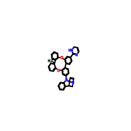 CC12CC=CC=C1Oc1cc(N3c4ccccc4C4CN5C=CC453)ccc1-c1ccc(C3=NC=CCN3)cc1Oc1ccccc12